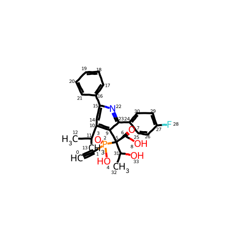 C#CP(=O)(O)C(C(=O)O)(c1c(C(C)C)cc(-c2ccccc2)nc1-c1ccc(F)cc1)C(C)O